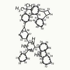 CC1(C)c2ccc(C3C4C=CC(C5NC(c6ccccc6)=NC(c6cccc7c6[nH]c6ccccc67)N5)=CC43)cc2-c2c1ccc1c2-c2ccccc2C2CCC12